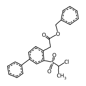 CC(Cl)S(=O)(=O)c1cc(-c2ccccc2)ccc1CC(=O)OCc1ccccc1